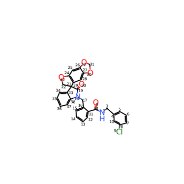 O=C(NCc1cccc(Cl)c1)c1ccccc1CN1C(=O)C2(COc3cc4c(cc32)OCO4)c2ccccc21